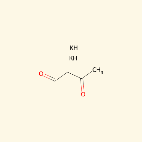 CC(=O)CC=O.[KH].[KH]